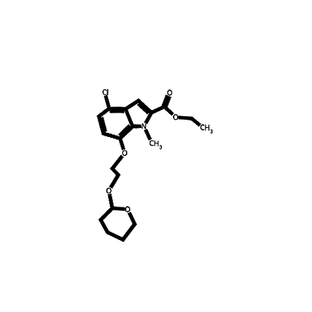 CCOC(=O)c1cc2c(Cl)ccc(OCCOC3CCCCO3)c2n1C